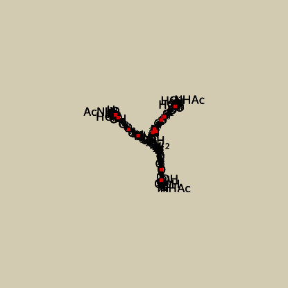 CC(=O)N[C@H]1[C@@H]2OC[C@](COCCOCCOCCOCCn3cc(COCC(N)(COCc4cn(CCOCCOCCOCCOC[C@@]56CO[C@@H](O5)[C@H](NC(C)=O)[C@@H](O)[C@H]6O)nn4)COCc4cn(CCOCCOCCOCCOC[C@@]56CO[C@@H](O5)[C@H](NC(C)=O)[C@@H](O)[C@H]6O)nn4)nn3)(O2)[C@H](O)[C@@H]1O